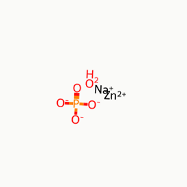 O.O=P([O-])([O-])[O-].[Na+].[Zn+2]